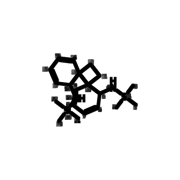 C[Si](C)(C)NC1C=CC=CC12CCC21C=CC=CC1N[Si](C)(C)C